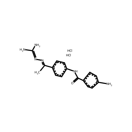 C/C(=N\N=C(N)N)c1ccc(NC(=O)c2ccc(N)cc2)cc1.Cl.Cl